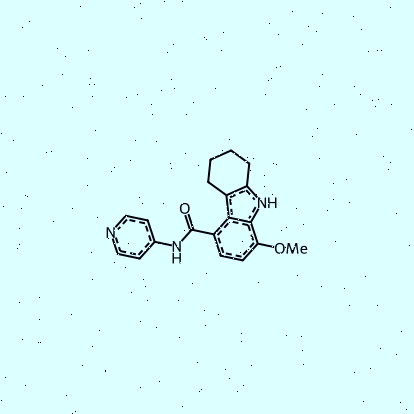 COc1ccc(C(=O)Nc2ccncc2)c2c3c([nH]c12)CCCC3